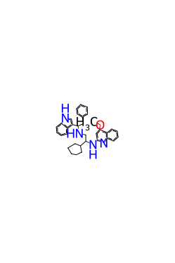 COc1cc(NC(CNC(Cc2ccccc2)c2c[nH]c3ccccc23)C2CCCCC2)nc2ccccc12